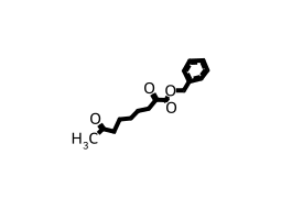 CC(=O)CCCCCC(=O)C(=O)OCc1ccccc1